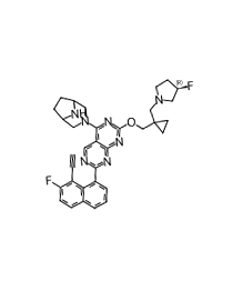 C#Cc1c(F)ccc2cccc(-c3ncc4c(N5CC6CCC(C5)N6)nc(OCC5(CN6CC[C@@H](F)C6)CC5)nc4n3)c12